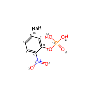 O=[N+]([O-])c1ccccc1OP(=O)(O)O.[NaH]